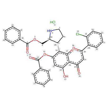 Cl.O=C(OC[C@H]1NCC[C@@H]1c1c(OC(=O)c2ccccc2)cc(O)c2c(=O)cc(-c3ccccc3Cl)oc12)c1ccccc1